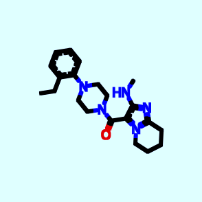 CCc1ccccc1N1CCN(C(=O)c2c(NC)nc3n2CCCC3)CC1